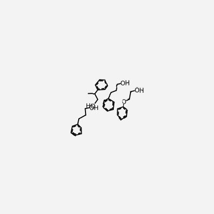 CC(CO)c1ccccc1.OCCCc1ccccc1.OCCCc1ccccc1.OCCOc1ccccc1